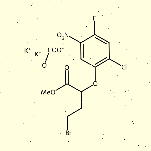 COC(=O)C(CCBr)Oc1cc([N+](=O)[O-])c(F)cc1Cl.O=C([O-])[O-].[K+].[K+]